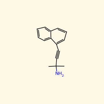 CC(C)(N)C#Cc1cccc2ccccc12